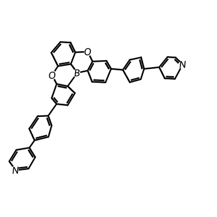 c1cc2c3c(c1)Oc1cc(-c4ccc(-c5ccncc5)cc4)ccc1B3c1ccc(-c3ccc(-c4ccncc4)cc3)cc1O2